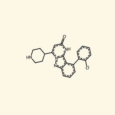 O=c1cc(C2CCNCC2)n2nc3cccc(-c4ccccc4Cl)c3c2[nH]1